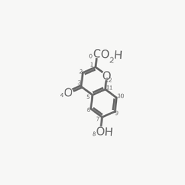 O=C(O)c1cc(=O)c2cc(O)ccc2o1